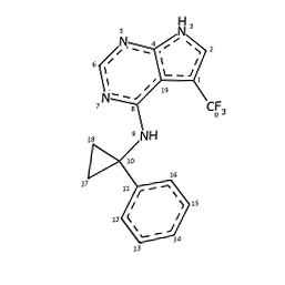 FC(F)(F)c1c[nH]c2ncnc(NC3(c4ccccc4)CC3)c12